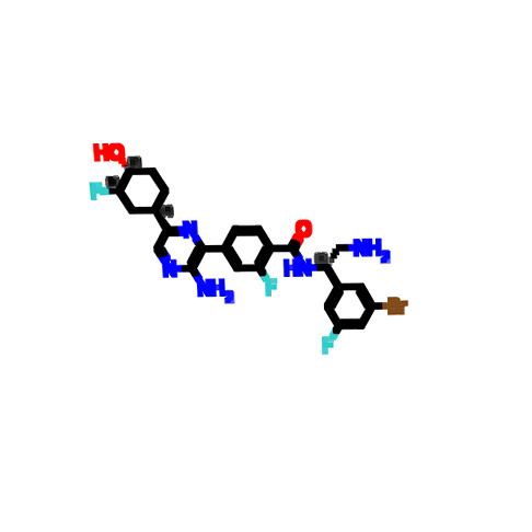 NC[C@@H](NC(=O)c1ccc(-c2nc([C@@H]3CC[C@@H](O)[C@H](F)C3)cnc2N)cc1F)c1cc(F)cc(Br)c1